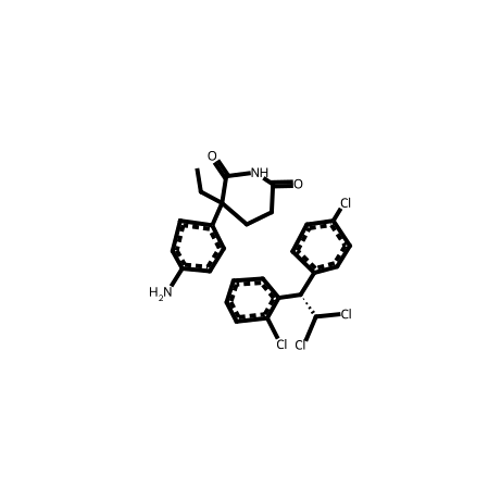 CCC1(c2ccc(N)cc2)CCC(=O)NC1=O.Clc1ccc([C@@H](c2ccccc2Cl)C(Cl)Cl)cc1